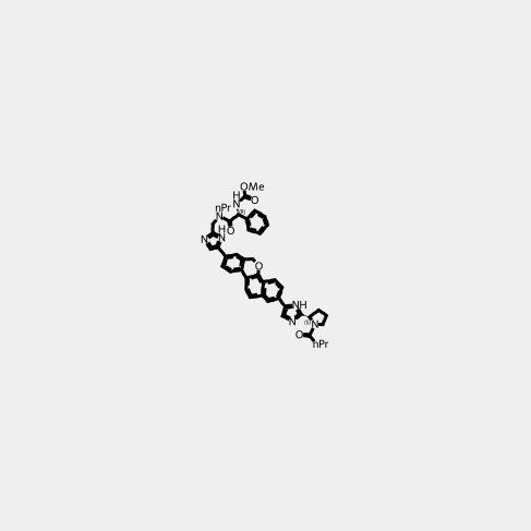 CCCC(=O)N1CCC[C@H]1c1ncc(-c2ccc3c4c(ccc3c2)-c2ccc(-c3cnc(CN(CCC)C(=O)[C@H](NC(=O)OC)c5ccccc5)[nH]3)cc2CO4)[nH]1